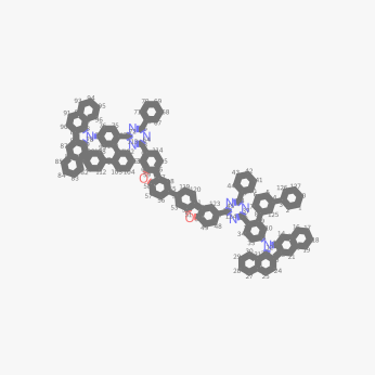 c1ccc(-c2cccc(-c3cc(-n4c5cc6ccccc6cc5c5ccc6ccccc6c54)ccc3-c3nc(-c4ccccc4)nc(-c4ccc5oc6cc(-c7ccc8oc9cc(-c%10nc(-c%11ccccc%11)nc(-c%11ccc(-n%12c%13cc%14ccccc%14cc%13c%13ccc%14ccccc%14c%13%12)cc%11-c%11ccccc%11-c%11ccccc%11)n%10)ccc9c8c7)ccc6c5c4)n3)c2)cc1